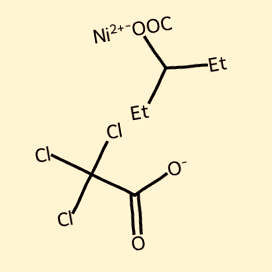 CCC(CC)C(=O)[O-].O=C([O-])C(Cl)(Cl)Cl.[Ni+2]